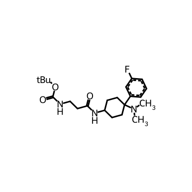 CN(C)C1(c2cccc(F)c2)CCC(NC(=O)CCNC(=O)OC(C)(C)C)CC1